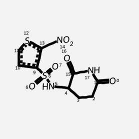 O=C1CCC(NS(=O)(=O)c2ccsc2[N+](=O)[O-])C(=O)N1